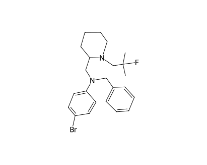 CC(C)(F)CN1CCCCC1CN(Cc1ccccc1)c1ccc(Br)cc1